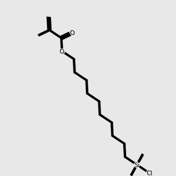 C=C(C)C(=O)OCCCCCCCCCC[Si](C)(C)Cl